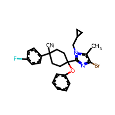 Cc1c(Br)nc(C2(Oc3ccccc3)CCC(C#N)(c3ccc(F)cc3)CC2)n1CC1CC1